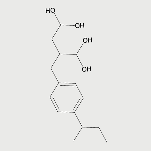 CCC(C)c1ccc(CC(CC(O)O)C(O)O)cc1